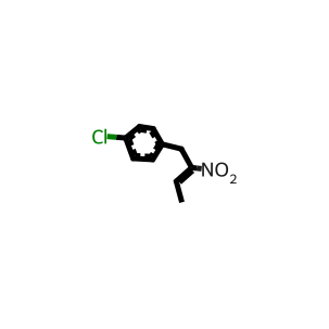 CC=C(Cc1ccc(Cl)cc1)[N+](=O)[O-]